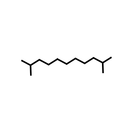 CC(C)CC[CH]CCCCC(C)C